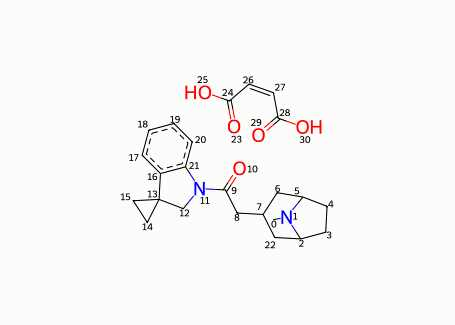 CN1C2CCC1CC(CC(=O)N1CC3(CC3)c3ccccc31)C2.O=C(O)/C=C\C(=O)O